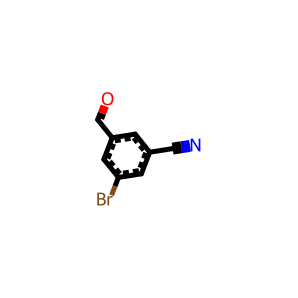 N#Cc1cc(Br)cc(C=O)c1